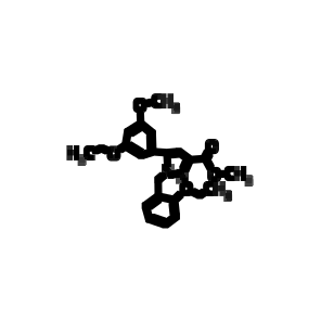 CCOc1cc(OC)cc(-c2cc(C(=O)OC)nn2Cc2ccccc2OCC)c1